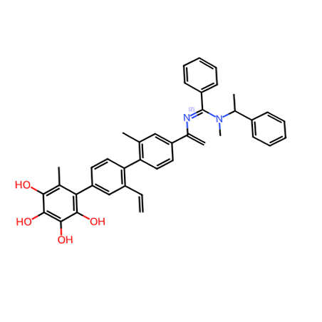 C=Cc1cc(-c2c(C)c(O)c(O)c(O)c2O)ccc1-c1ccc(C(=C)/N=C(/c2ccccc2)N(C)C(C)c2ccccc2)cc1C